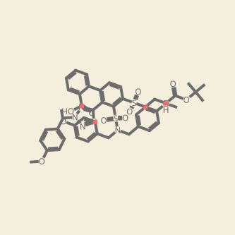 COc1ccc(CN(Cc2ccc(OC)cc2)S(=O)(=O)c2c(S(=O)(=O)CCNC(=O)OC(C)(C)C)ccc(-c3ccccc3C(=O)O)c2-c2nnn(Cc3ccc(OC)cc3)n2)cc1